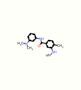 CCCNc1cc(C(=O)Nc2cccc(N(C)C)c2)ccc1C